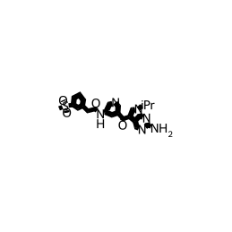 CC(C)n1cc(C(=O)c2cncc(NC(=O)Cc3cccc(S(C)(=O)=O)c3)c2)c2cnc(N)nc21